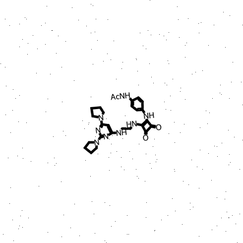 CC(=O)Nc1ccc(Nc2c(NCCNc3cc(N4CCCC4)nc(N4CCCC4)n3)c(=O)c2=O)cc1